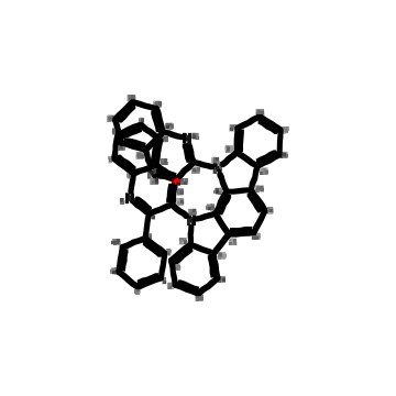 c1ccc(-c2nc3ccccc3nc2-n2c3ccccc3c3ccc4c5ccccc5n(-c5cnc6ccccc6n5)c4c32)cc1